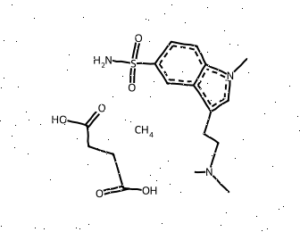 C.CN(C)CCc1cn(C)c2ccc(S(N)(=O)=O)cc12.O=C(O)CCC(=O)O